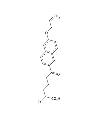 C=CCOc1ccc2cc(C(=O)CCCC(CC)C(=O)O)ccc2c1